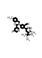 CN/C(=C\C(=N)c1ccc(N(Cc2ccc(C)cc2)C(=O)c2cncc(F)c2)cc1C#N)C(C)(P)P